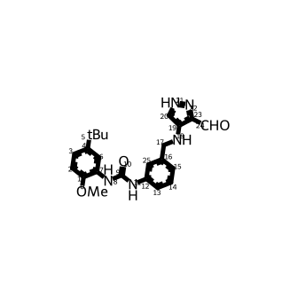 COc1ccc(C(C)(C)C)cc1NC(=O)Nc1cccc(CNc2c[nH]nc2C=O)c1